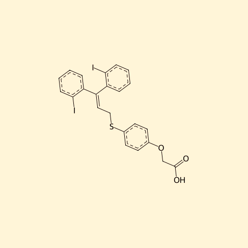 O=C(O)COc1ccc(SCC=C(c2ccccc2I)c2ccccc2I)cc1